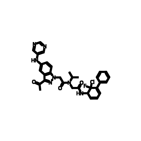 CC(=O)c1nn(CC(=O)N(CC(=O)NC2C=CC=C(c3ccccc3)C2(F)Cl)C(C)C)c2ccc(Nc3cncnc3)cc12